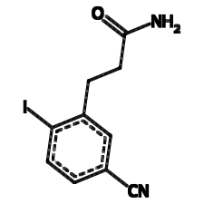 N#Cc1ccc(I)c(CCC(N)=O)c1